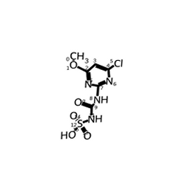 COc1cc(Cl)nc(NC(=O)NS(=O)(=O)O)n1